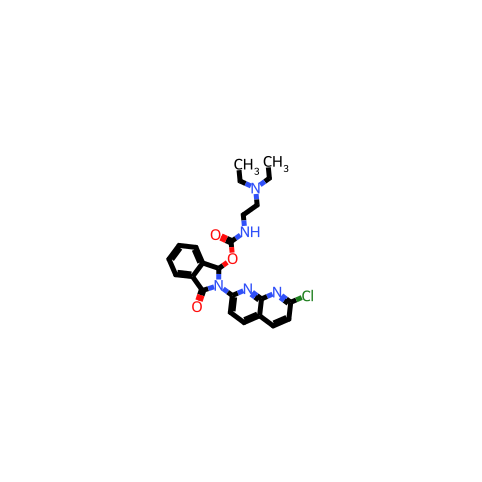 CCN(CC)CCNC(=O)OC1c2ccccc2C(=O)N1c1ccc2ccc(Cl)nc2n1